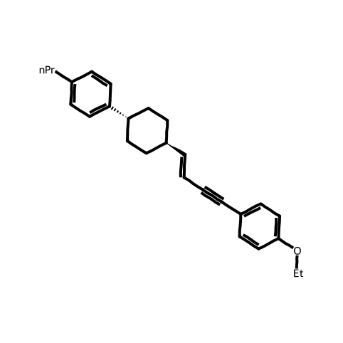 CCCc1ccc([C@H]2CC[C@H](/C=C/C#Cc3ccc(OCC)cc3)CC2)cc1